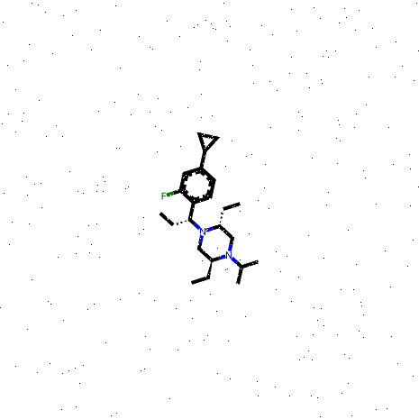 CC[C@H]1CN([C@H](CC)c2ccc(C3CC3)cc2F)[C@H](CC)CN1C(C)C